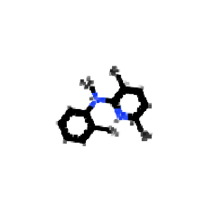 Cc1ccccc1N(C)c1nc(C(C)(C)C)ccc1C#N